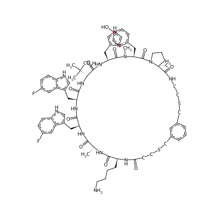 C[C@H]1NC(=O)[C@H](CCCCN)NC(=O)CCSCc2cccc(c2)CSCCNC(=O)[C@]2(C)CCCN2C(=O)[C@H](Cc2ccc(O)cc2)N(C)C(=O)[C@H](Cc2c[nH]cn2)NC(=O)[C@@H](C(C)(C)C(=O)O)NC(=O)[C@H](Cc2c[nH]c3ccc(F)cc23)NC(=O)[C@H](Cc2c[nH]c3ccc(F)cc23)NC1=O